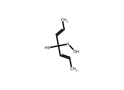 CC=CC(S)(C=CC)SO